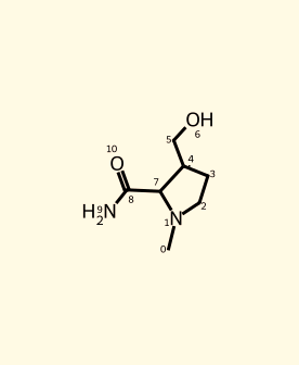 CN1CC[C](CO)C1C(N)=O